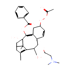 CC(=O)OOC1C=C[C@]2(C)/C(=C(/OC(=O)c3ccccc3)[C@]3(O)CCC(C)=C(C(C)[C@H]2O[C@@H](O)CN(C)C)C3(C)C)C1